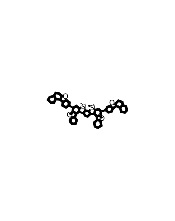 C[Si]1(C)c2cc(-c3ccc4c(c3)oc3ccc5ccccc5c34)c3oc4ccccc4c3c2-c2ccc3c(c21)[Si](C)(C)c1cc(-c2ccc4c(c2)oc2ccc5ccccc5c24)c2oc4ccccc4c2c1-3